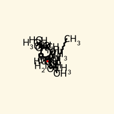 CCCCCCCCCCCCCCCC(=O)N(C)[C@H](CCO)C(=O)N[C@H](N)C(=O)NCC(=O)N(C)[C@@H]1C(=O)N[C@@H](C)C(=O)N[C@H](C(=O)N[C@H](CO)C(C)O)Cc2ccc(O)c(c2)-c2cc1ccc2O